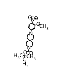 COc1cc(N2CCC3(CCN(C(=O)OC(C)(C)C)CC3)CC2)ccc1[N+](=O)[O-]